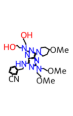 COCCN(CCOC)c1nc(NCc2cccc(C#N)c2)c2nc(N(CCO)CCO)nc(N3CCC(OC)CC3)c2n1